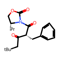 CC(C)[C@@H]1COC(=O)N1C(=O)[C@H](Cc1ccccc1)C(=O)CC(C)(C)C